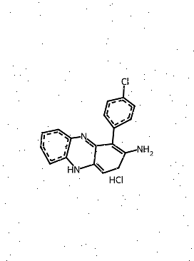 Cl.NC1=C(c2ccc(Cl)cc2)C2=Nc3ccccc3NC2=CC1